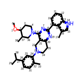 COC1CCN(c2nc(-c3cccc4[nH]cc(C)c34)nc3c2CN(c2cc(C(C)C)ccc2C)CC3)CC1C